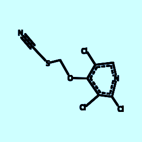 N#CSCOc1c(Cl)cnc(Cl)c1Cl